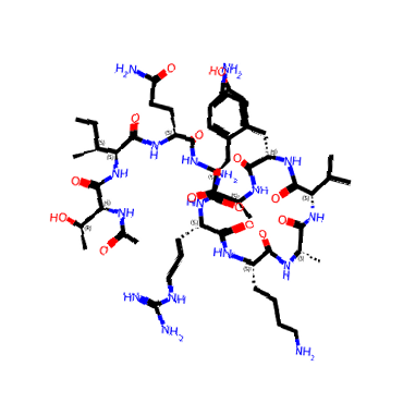 CC[C@H](C)[C@H](NC(=O)[C@@H](NC(C)=O)[C@@H](C)O)C(=O)N[C@@H](CCC(N)=O)C(=O)N[C@@H](Cc1ccc(O)cc1)C(=O)N[C@@H](CCCNC(=N)N)C(=O)N[C@@H](CCCCN)C(=O)N[C@@H](C)C(=O)N[C@H](C(=O)N[C@@H](CCCCN)C(=O)N[C@@H](C)C(N)=O)C(C)C